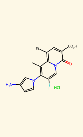 CCc1cc(C(=O)O)c(=O)n2cc(F)c(-n3ccc(N)c3)c(C)c12.Cl